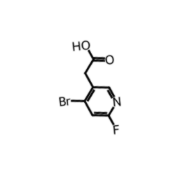 O=C(O)Cc1cnc(F)cc1Br